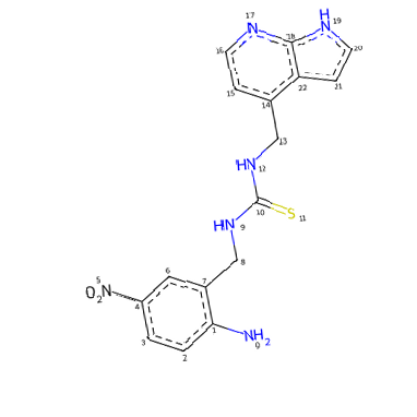 Nc1ccc([N+](=O)[O-])cc1CNC(=S)NCc1ccnc2[nH]ccc12